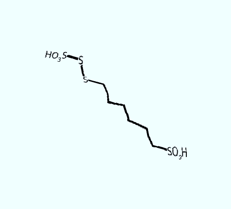 O=S(=O)(O)CCCCCCSSS(=O)(=O)O